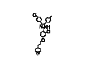 Cc1ccc(-c2[nH]c(-c3ccc(OCCCC4CCN(C)CC4)cc3Cl)nc2-c2ccc(Cl)cc2)cc1